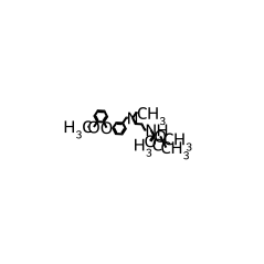 CCN(CCCNC(=O)OC(C)(C)C)Cc1cccc(Oc2ccccc2OC)c1